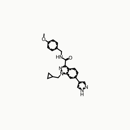 COc1ccc(CNC(=O)c2nn(CC3CC3)c3cc(-c4cn[nH]c4)ccc23)cc1